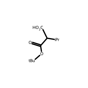 CC(C)C(C(=O)O)C(=O)OC(C)(C)C